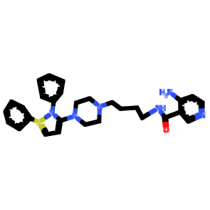 Nc1ccncc1C(=O)NCCCCN1CCN(C2=CC=S(c3ccccc3)N2c2ccccc2)CC1